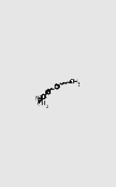 CCCCCCC[C@H]1CC[C@H](CCc2ccc(C3CCC(C#N)(CCC)CC3)cc2)CC1